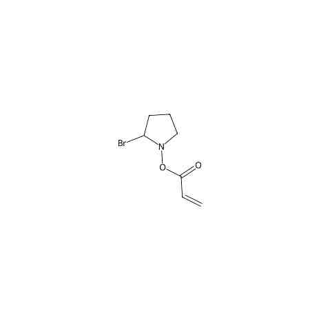 C=CC(=O)ON1CCCC1Br